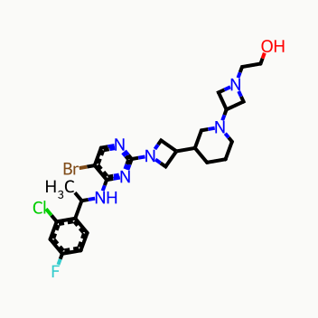 CC(Nc1nc(N2CC(C3CCCN(C4CN(CCO)C4)C3)C2)ncc1Br)c1ccc(F)cc1Cl